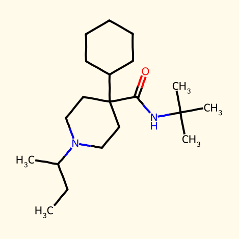 CCC(C)N1CCC(C(=O)NC(C)(C)C)(C2CCCCC2)CC1